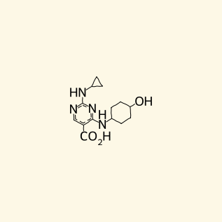 O=C(O)c1cnc(NC2CC2)nc1NC1CCC(O)CC1